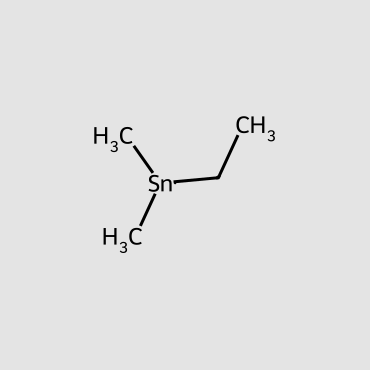 C[CH2][Sn]([CH3])[CH3]